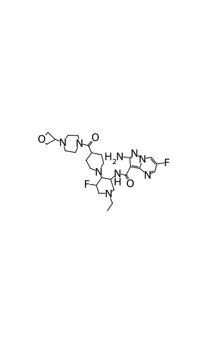 CCN1CC(F)C(N2CCC(C(=O)N3CCN(C4COC4)CC3)CC2)C(NC(=O)c2c(N)nn3cc(F)cnc23)C1